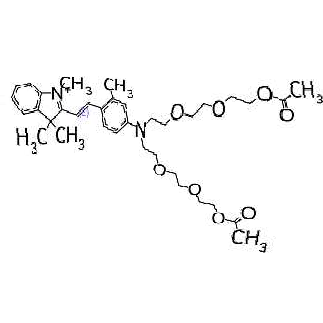 CC(=O)OCCOCCOCCN(CCOCCOCCOC(C)=O)c1ccc(/C=C/C2=[N+](C)c3ccccc3C2(C)C)c(C)c1